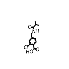 CC(C)C(=O)NCc1ccc(C(=O)O)c(Cl)c1